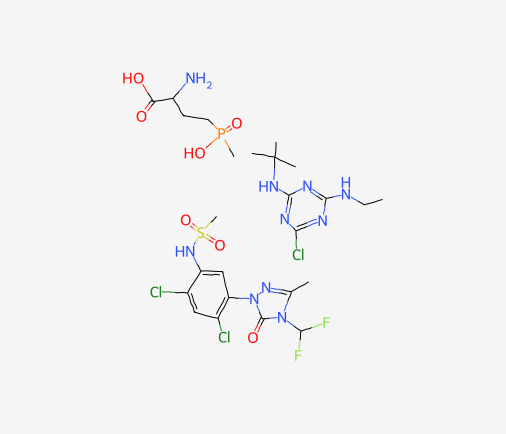 CCNc1nc(Cl)nc(NC(C)(C)C)n1.CP(=O)(O)CCC(N)C(=O)O.Cc1nn(-c2cc(NS(C)(=O)=O)c(Cl)cc2Cl)c(=O)n1C(F)F